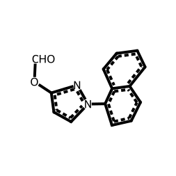 O=COc1ccn(-c2cccc3ccccc23)n1